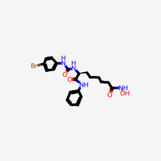 O=C(CCCCC[C@H](NC(=O)Nc1ccc(Br)cc1)C(=O)Nc1ccccc1)NO